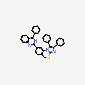 c1ccc(-c2nc3n(c2-c2ccccc2)-c2cc(-c4nc(-c5ccccc5)c5ccccc5n4)ccc2CS3)cc1